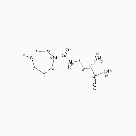 CN1CCCN(C(=O)NCC[C@H](N)C(=O)O)CC1